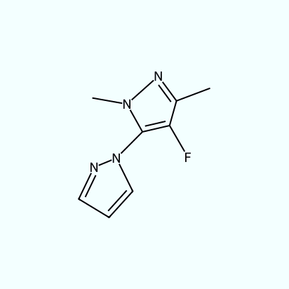 Cc1nn(C)c(-n2cccn2)c1F